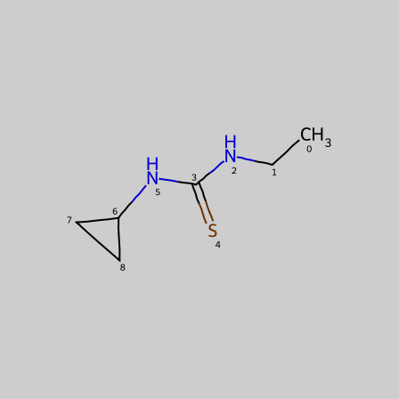 CCNC(=S)NC1CC1